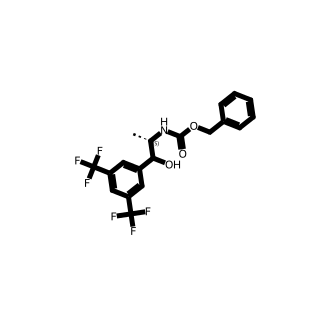 C[C@H](NC(=O)OCc1ccccc1)C(O)c1cc(C(F)(F)F)cc(C(F)(F)F)c1